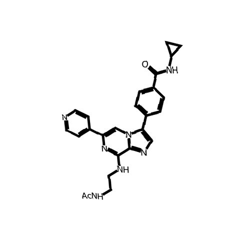 CC(=O)NCCNc1nc(-c2ccncc2)cn2c(-c3ccc(C(=O)NC4CC4)cc3)cnc12